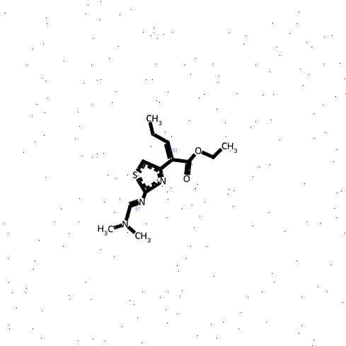 CC/C=C(/C(=O)OCC)c1csc(/N=C/N(C)C)n1